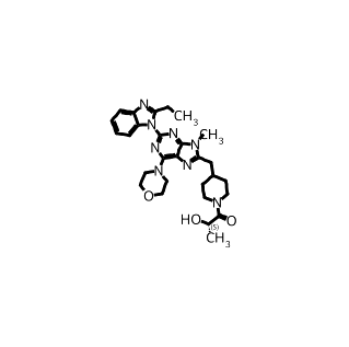 CCc1nc2ccccc2n1-c1nc(N2CCOCC2)c2nc(CC3CCN(C(=O)[C@H](C)O)CC3)n(C)c2n1